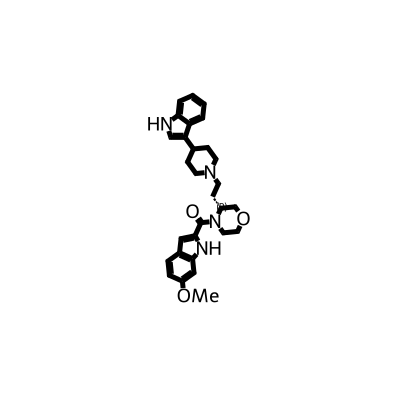 COc1ccc2cc(C(=O)N3CCOC[C@H]3CCN3CCC(c4c[nH]c5ccccc45)CC3)[nH]c2c1